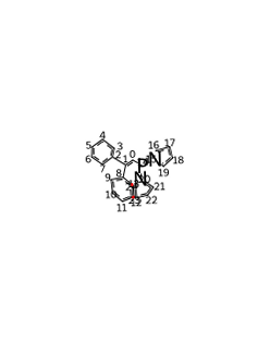 C(=C(c1ccccc1)c1ccccc1)P(n1cccc1)n1cccc1